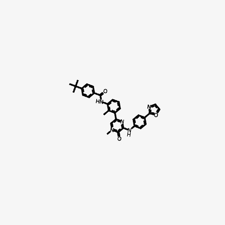 Cc1c(NC(=O)c2ccc(C(C)(C)C)cc2)cccc1-c1cn(C)c(=O)c(Nc2ccc(-c3ncco3)cc2)n1